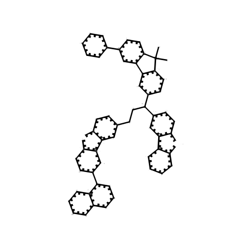 CC1(C)c2ccc(-c3ccccc3)cc2-c2cc(C(CCc3ccc4oc5ccc(-c6cccc7ccccc67)cc5c4c3)c3ccc4sc5ccccc5c4c3)ccc21